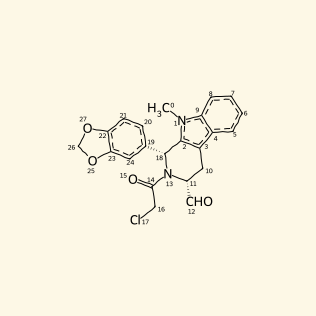 Cn1c2c(c3ccccc31)C[C@H](C=O)N(C(=O)CCl)[C@@H]2c1ccc2c(c1)OCO2